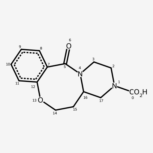 O=C(O)N1CCN2C(=O)c3ccccc3OCCC2C1